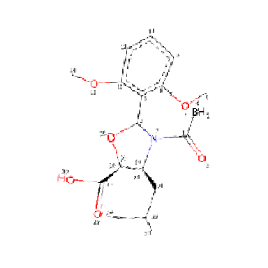 BC(=O)N1C(c2c(OC)cccc2OC)O[C@H](C(=O)O)[C@@H]1CC(C)C